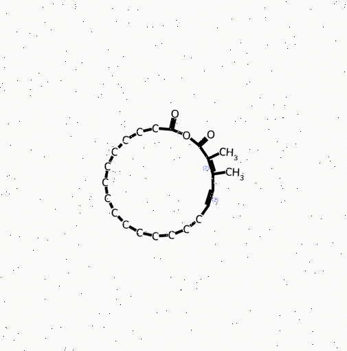 CC1=C(\C)C(=O)OC(=O)CCCCCCCCCCCCCC/C=C\1